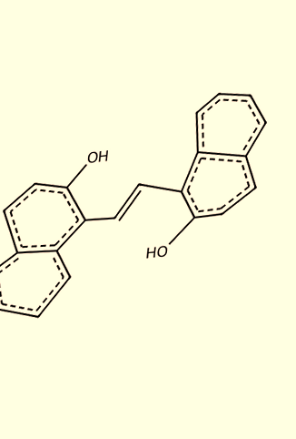 Oc1ccc2ccccc2c1/C=C/c1c(O)ccc2ccccc12